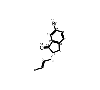 CC=CC[C@H]1Cc2ccc(Br)cc2C1=O